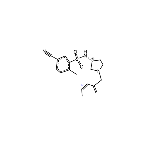 C=C(/C=C\C)CN1CC[C@@H](NS(=O)(=O)c2cc(C#N)ccc2C)C1